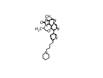 CC1COc2c(-c3ccc(CCCCN4CCCCC4)nc3)c(F)cc3ncc4c(c23)n1c(=O)n4C